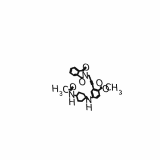 COC(=O)c1ccc(NC2CCC(NC(C)=O)CC2)cc1C#CCN1C(=O)c2ccccc2C1=O